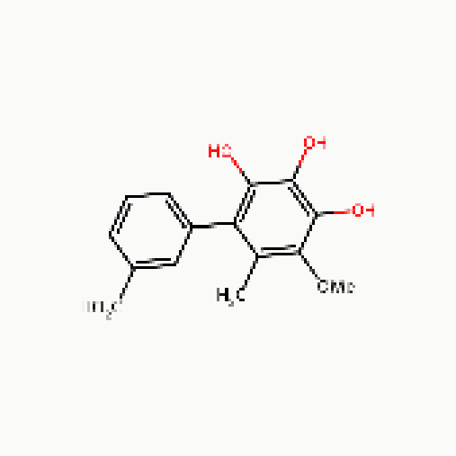 COc1c(C)c(-c2cccc(C(=O)O)c2)c(O)c(O)c1O